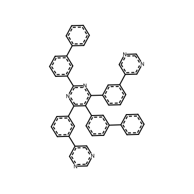 c1ccc(-c2cccc(-c3nc(-c4cccc(-c5cncnc5)c4)c(-c4cccc(-c5ccccc5)c4)c(-c4cccc(-c5cncnc5)c4)n3)c2)cc1